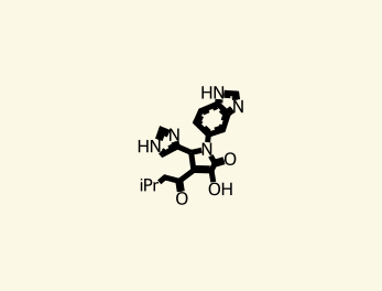 CC(C)CC(=O)C1=C(O)C(=O)N(c2ccc3[nH]cnc3c2)C1c1c[nH]cn1